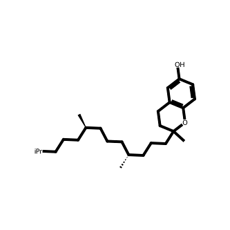 CC(C)CCC[C@@H](C)CCC[C@@H](C)CCCC1(C)CCc2cc(O)ccc2O1